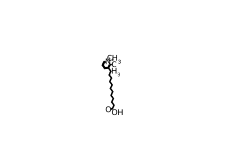 Cc1c(CCCCCCCCCCCC(=O)O)ccc[n+]1C